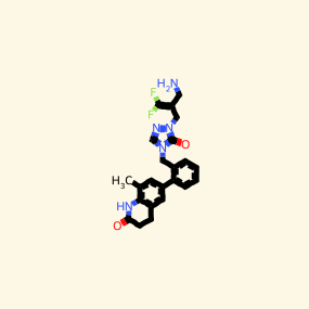 Cc1cc(-c2ccccc2Cn2cnn(CC(CN)=C(F)F)c2=O)cc2c1NC(=O)CC2